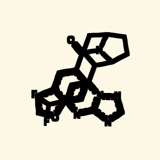 O=C(c1ccc2occc2c1)N1C2CCC(c3cc(C(F)F)nc4ncnn34)C1CC2